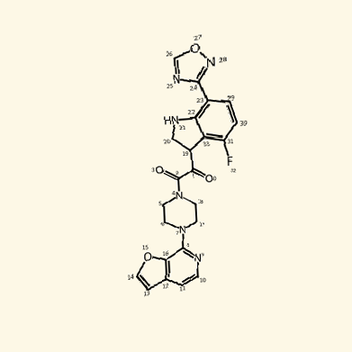 O=C(C(=O)N1CCN(c2nccc3ccoc23)CC1)C1CNc2c(-c3ncon3)ccc(F)c21